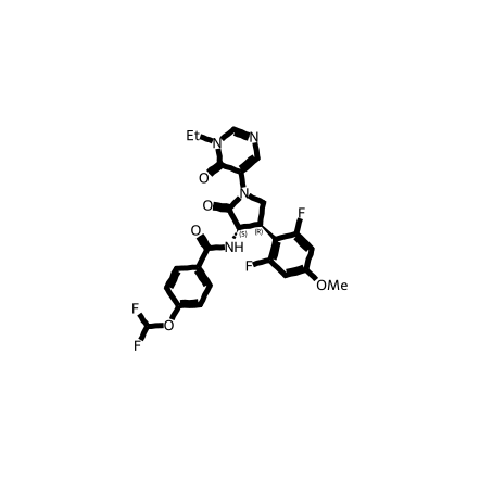 CCn1cncc(N2C[C@@H](c3c(F)cc(OC)cc3F)[C@H](NC(=O)c3ccc(OC(F)F)cc3)C2=O)c1=O